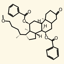 COCCC[C@@H](C)[C@H]1CC[C@H]2[C@@H]3[C@H](OC(=O)c4ccccc4)CC4CC(=O)CC[C@]4(C)[C@H]3C[C@H](OC(=O)c3ccccc3)[C@]12C